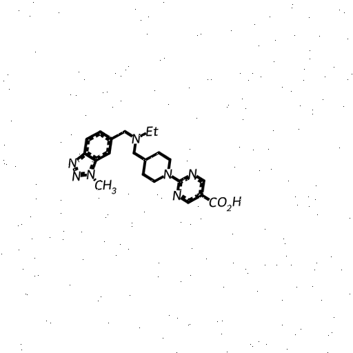 CCN(Cc1ccc2nnn(C)c2c1)CC1CCN(c2ncc(C(=O)O)cn2)CC1